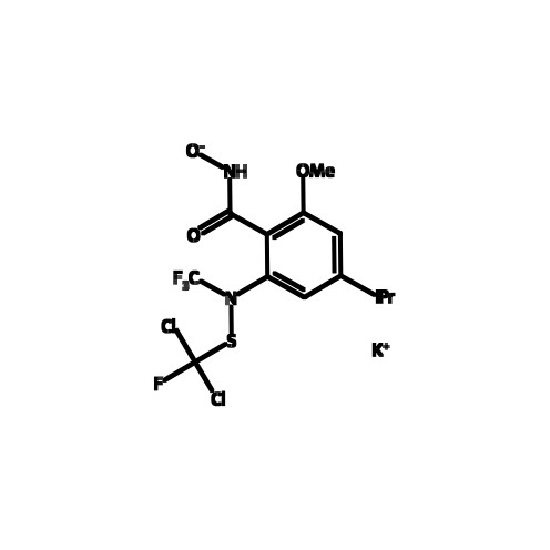 COc1cc(C(C)C)cc(N(SC(F)(Cl)Cl)C(F)(F)F)c1C(=O)N[O-].[K+]